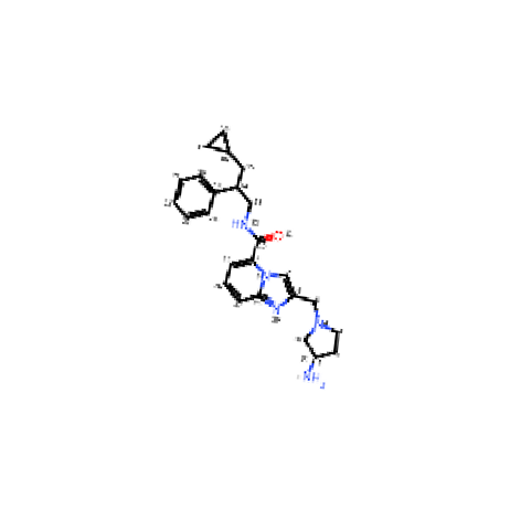 N[C@@H]1CCN(Cc2cn3c(C(=O)NCC(CC4CC4)c4ccccc4)cccc3n2)C1